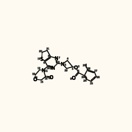 O=C(OC1CN(c2nc3c(c(N4CCOCC4=O)n2)SCC3)C1)c1ccccc1I